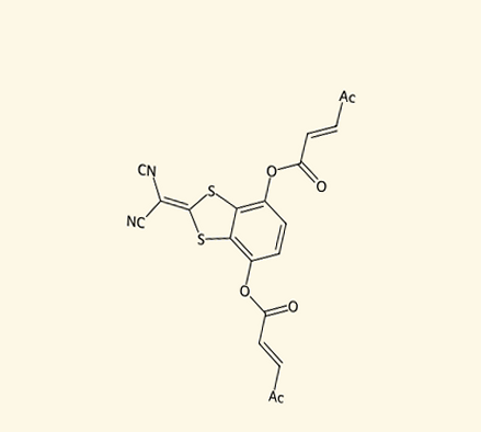 [C-]#[N+]C(C#N)=C1Sc2c(OC(=O)/C=C/C(C)=O)ccc(OC(=O)/C=C/C(C)=O)c2S1